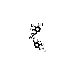 CCc1c(N)ccc(CO[PH](=O)OCc2ccc(N)c(CC)c2CC)c1CC